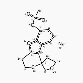 CS(=O)(=O)Oc1cccc2c3c(oc12)CCCC31CCOC1.[Na]